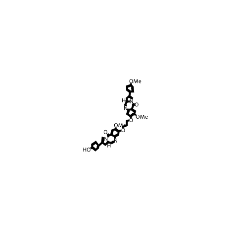 COc1ccc(C2=CN3C(=O)c4cc(OC)c(OCCCOc5cc6c(cc5OC)C(=O)N5C=C(c7ccc(O)cc7)C[C@H]5C=N6)cc4N=C[C@@H]3C2)cc1